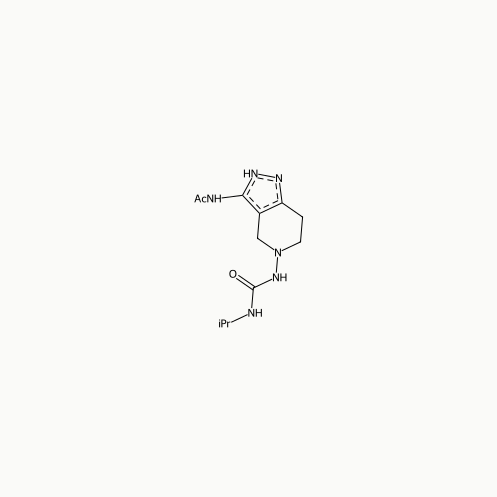 CC(=O)Nc1[nH]nc2c1CN(NC(=O)NC(C)C)CC2